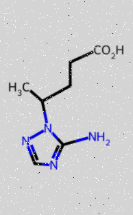 CC(CCC(=O)O)n1ncnc1N